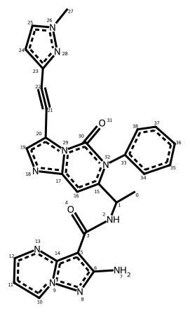 CC(NC(=O)c1c(N)nn2cccnc12)c1cc2ncc(C#Cc3ccn(C)n3)n2c(=O)n1-c1ccccc1